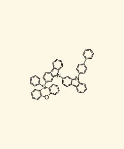 c1ccc(-c2ccc(-n3c4ccccc4c4ccc(-n5c6ccccc6c6ccc([Si]7(c8ccccc8)c8ccccc8Oc8ccccc87)cc65)cc43)cc2)cc1